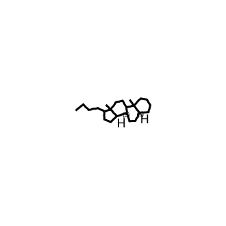 CCCCC1CCC2[C@@H]3CC[C@@H]4CCCCC4(C)C3CCC12C